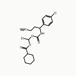 CCC(OC(=O)NC(CCC(=O)[O-])c1ccc(Cl)cc1)OC(=O)C1CCCCC1.[Na+]